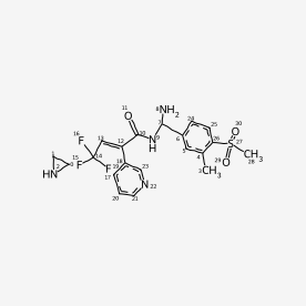 C1CN1.Cc1cc(C(N)NC(=O)C(=CC(F)(F)F)c2cccnc2)ccc1S(C)(=O)=O